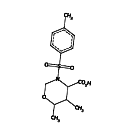 Cc1ccc(S(=O)(=O)N2COC(C)C(C)C2C(=O)O)cc1